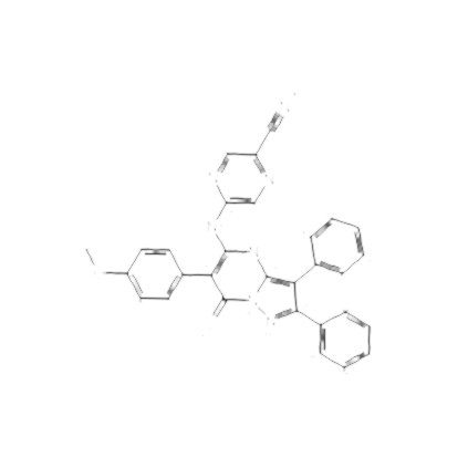 COc1ccc(-c2c(Nc3cnc(C#N)cn3)[nH]c3c(-c4ccccc4)c(-c4ccccc4)nn3c2=O)cc1